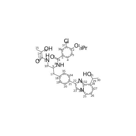 CC(C)Oc1ccc(C(=O)NC(CNC(=O)C(C)O)Cc2ccc(-c3cn4cccc(C(C)O)c4n3)cc2)cc1Cl